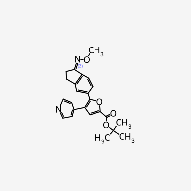 CO/N=C1/CCc2cc(-c3oc(C(=O)OC(C)(C)C)cc3-c3ccncc3)ccc21